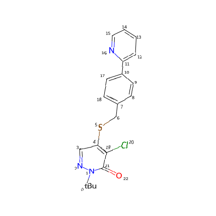 CC(C)(C)n1ncc(SCc2ccc(-c3ccccn3)cc2)c(Cl)c1=O